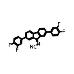 N#CN=C1c2cc(-c3ccc(F)c(F)c3)ccc2-c2ccc(-c3ccc(F)c(F)c3)cc21